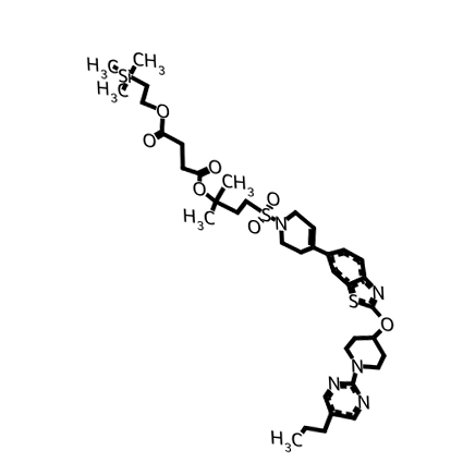 CCCc1cnc(N2CCC(Oc3nc4ccc(C5=CCN(S(=O)(=O)CCC(C)(C)OC(=O)CCC(=O)OCC[Si](C)(C)C)CC5)cc4s3)CC2)nc1